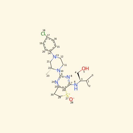 CC(C)[C@H](CO)Nc1nc(N2CCN(c3ccc(Cl)cc3)C[C@H]2C)nc2c1[S+]([O-])CC2